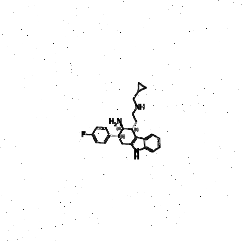 N[C@@H]1[C@@H](c2ccc(F)cc2)Cc2[nH]c3ccccc3c2[C@H]1CCNCC1CC1